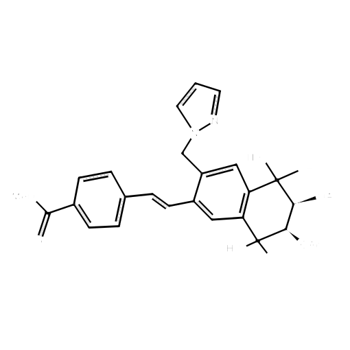 COC(=O)c1ccc(C=Cc2cc3c(cc2Cn2cccn2)C(C)(C)[C@@H](OC(C)=O)[C@@H](OC(C)=O)C3(C)C)cc1